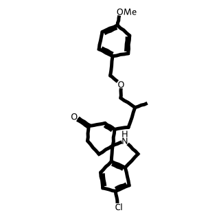 COc1ccc(COCC(C)CC2=CC(=O)CCC23NCc2cc(Cl)ccc23)cc1